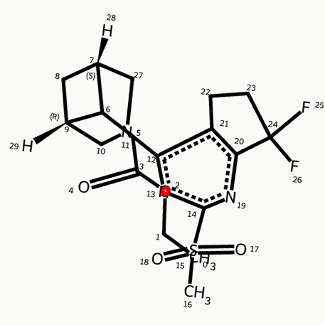 CCOC(=O)CC1[C@@H]2C[C@H]1CN(c1nc(S(C)(=O)=O)nc3c1CCC3(F)F)C2